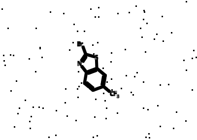 FC(F)(F)c1ccc2nc(Br)sc2c1